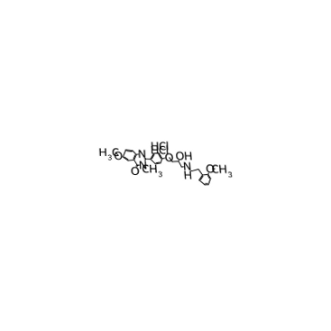 COc1ccc2nc(-c3ccc(OCC(O)CNCCc4ccccc4OC)cc3)n(C)c(=O)c2c1.Cl.Cl